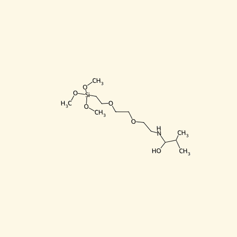 CO[Si](CCOCCOCCNC(O)C(C)C)(OC)OC